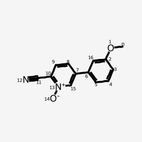 COc1cccc(-c2ccc(C#N)[n+]([O-])c2)c1